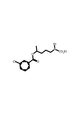 CCOC(=O)N(CC)CCCC(C)OC(=O)c1cccc(Cl)c1